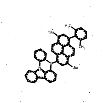 Cc1cccc(C)c1-c1cc(C(C)(C)C)c2ccc3c(N4c5ccccc5-n5c6ccccc6c6cccc4c65)cc(C(C)(C)C)c4ccc1c2c34